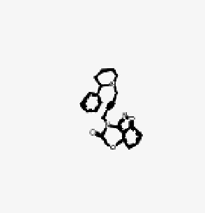 O=C1COc2cccc3onc(c23)N1CC#CCN1CCCCC1c1ccccc1